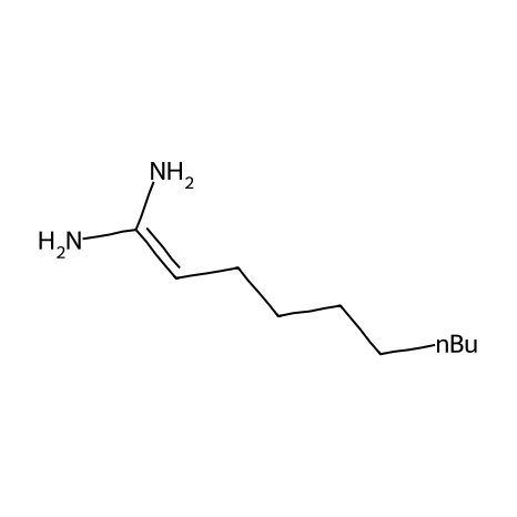 CCCCCCCCC=C(N)N